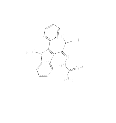 CC(C)/C(=N/NC(=N)N)c1c(-c2ccccc2)n(C)c2ccccc12